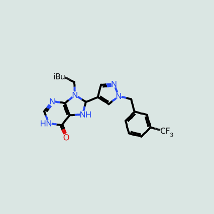 CCC(C)CN1c2nc[nH]c(=O)c2NC1c1cnn(Cc2cccc(C(F)(F)F)c2)c1